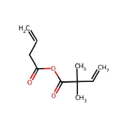 C=CCC(=O)OC(=O)C(C)(C)C=C